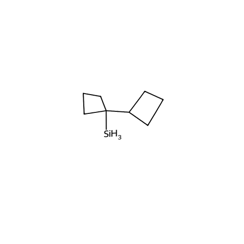 [SiH3]C1(C2CCC2)CCC1